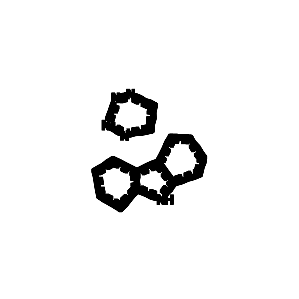 c1ccc2c(c1)[nH]c1ccccc12.c1cnnnn1